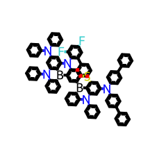 Fc1cc(F)c(N2c3cc4c(cc3B3c5ccccc5N(c5ccccc5)c5cc(N(c6ccccc6)c6ccccc6)cc2c53)B2c3ccccc3N(c3ccccc3)c3cc(N(c5ccc(-c6ccccc6)cc5)c5ccc(-c6ccccc6)cc5)cc(c32)S4)c(-c2ccccc2)c1